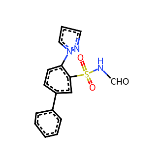 O=CNS(=O)(=O)c1cc(-c2ccccc2)ccc1-n1cccn1